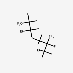 CCC(C)(F)C(F)(C(F)(F)F)C(F)(F)OC(C)(CC)C(C)(F)C(F)(F)F